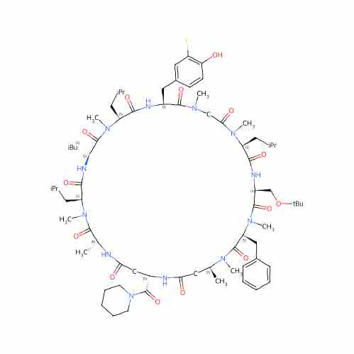 CC[C@H](C)[C@@H]1NC(=O)[C@H](CC(C)C)N(C)C(=O)[C@@H](C)NC(=O)C[C@@H](C(=O)N2CCCCC2)NC(=O)C[C@H](C)N(C)C(=O)[C@H](Cc2ccccc2)N(C)C(=O)[C@H](COC(C)(C)C)NC(=O)[C@H](CC(C)C)N(C)C(=O)CN(C)C(=O)[C@H](Cc2ccc(O)c(F)c2)NC(=O)[C@H](CC(C)C)N(C)C1=O